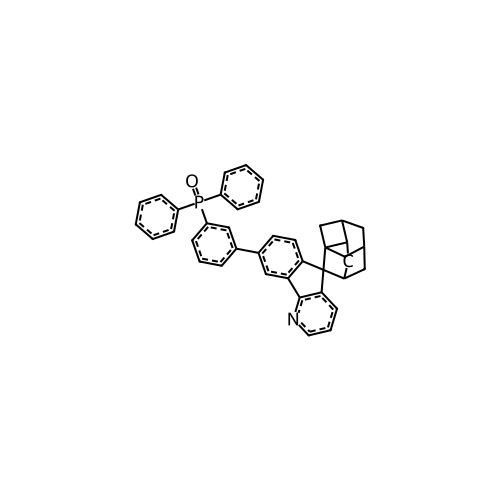 O=P(c1ccccc1)(c1ccccc1)c1cccc(-c2ccc3c(c2)-c2ncccc2C32C3CC4CC5CC2(C4)C5C3)c1